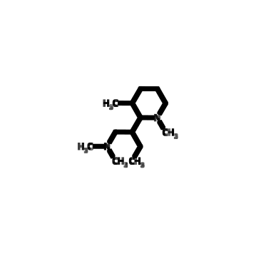 CCC(CN(C)C)C1C(C)CCCN1C